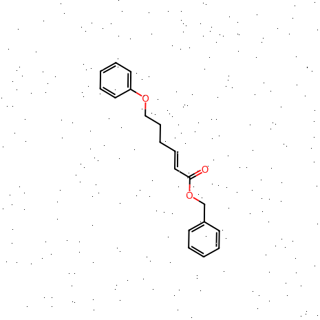 O=C(C=CCCCOc1ccccc1)OCc1ccccc1